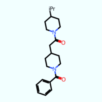 CC(C)C1CCN(C(=O)CC2CCN(C(=O)c3ccccc3)CC2)CC1